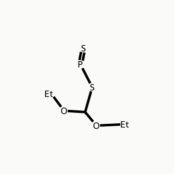 CCO[C](OCC)SP=S